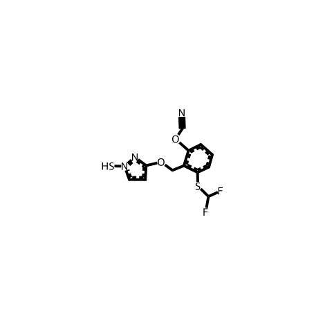 N#COc1cccc(SC(F)F)c1COc1ccn(S)n1